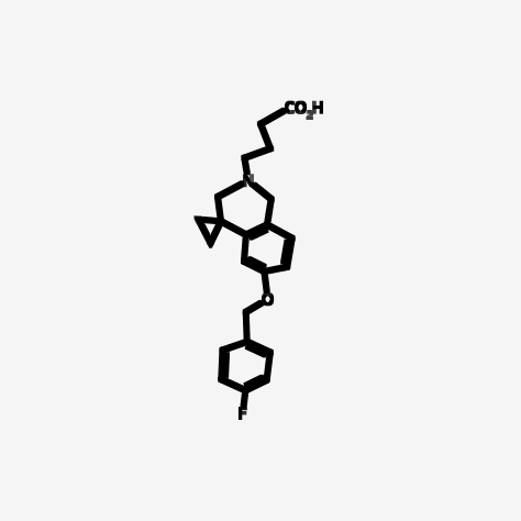 O=C(O)CCCN1Cc2ccc(OCc3ccc(F)cc3)cc2C2(CC2)C1